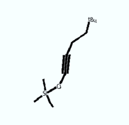 CC(C)(C)CCC#CO[Si](C)(C)C